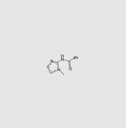 CC(C)C(=O)Nc1nccn1C